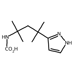 CC(C)(CC(C)(C)c1cc[nH]n1)NC(=O)O